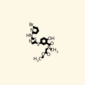 CCOC(=O)CN(C)C(=O)c1cc(Sc2cnc(Nc3cccc(Br)n3)s2)ccc1O